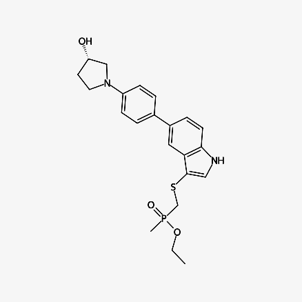 CCOP(C)(=O)CSc1c[nH]c2ccc(-c3ccc(N4CC[C@H](O)C4)cc3)cc12